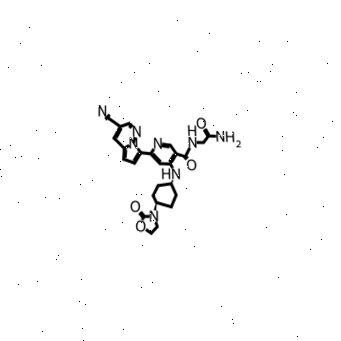 N#Cc1cnn2c(-c3cc(N[C@H]4CC[C@H](N5CCOC5=O)CC4)c(C(=O)NCC(N)=O)cn3)ccc2c1